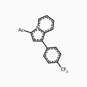 CC(=O)c1cc(-c2ccc(C(F)(F)F)cc2)c2ccccn12